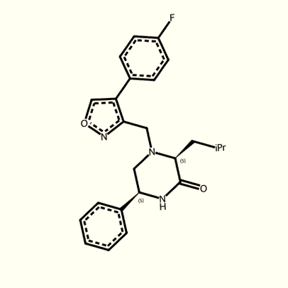 CC(C)C[C@H]1C(=O)N[C@@H](c2ccccc2)CN1Cc1nocc1-c1ccc(F)cc1